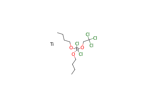 CCCC[O][Ti]([Cl])([Cl])([O]CCCC)[O]CC(Cl)(Cl)Cl.[Ti]